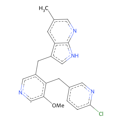 COc1[c]ncc(Cc2c[nH]c3ncc(C)cc23)c1Cc1ccc(Cl)nc1